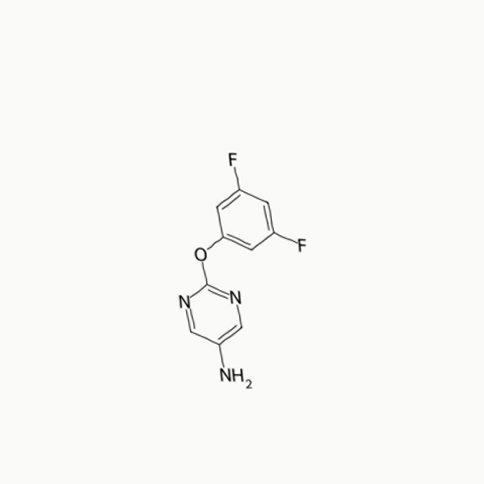 Nc1cnc(Oc2cc(F)cc(F)c2)nc1